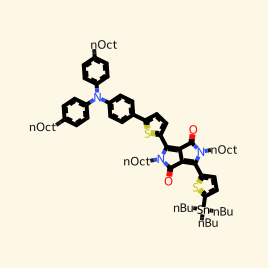 CCCCCCCCc1ccc(N(c2ccc(CCCCCCCC)cc2)c2ccc(-c3ccc(C4=C5C(=O)N(CCCCCCCC)C(c6cc[c]([Sn]([CH2]CCC)([CH2]CCC)[CH2]CCC)s6)=C5C(=O)N4CCCCCCCC)s3)cc2)cc1